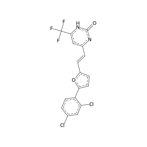 O=c1nc(C=Cc2ccc(-c3ccc(Cl)cc3Cl)o2)cc(C(F)(F)F)[nH]1